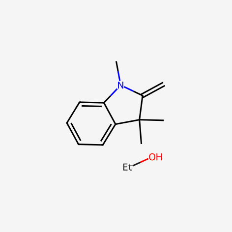 C=C1N(C)c2ccccc2C1(C)C.CCO